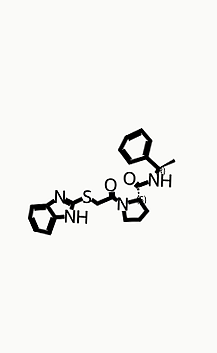 C[C@@H](NC(=O)[C@@H]1CCCN1C(=O)CSc1nc2ccccc2[nH]1)c1ccccc1